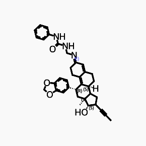 CC#CC1CC2[C@@H]3CCC4=C/C(=N/CNC(=O)Nc5ccccc5)CCC4=C3[C@@H](c3ccc4c(c3)OCO4)C[C@]2(C)[C@H]1O